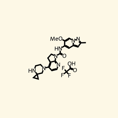 COc1cn2nc(C)cc2cc1NC(=O)N1CCc2c(N3CCNC4(CC4)C3)ccnc21.O=C(O)C(F)(F)F